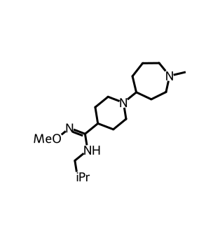 CO/N=C(\NCC(C)C)C1CCN(C2CCCN(C)CC2)CC1